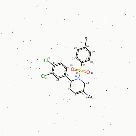 CC(=O)C1=CCC(c2ccc(Cl)c(Cl)c2)N(S(=O)(=O)c2ccc(C)cc2)C1